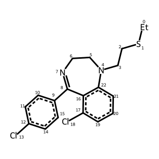 CCSCCN1CCN=C(c2ccc(Cl)cc2)c2c(Cl)cccc21